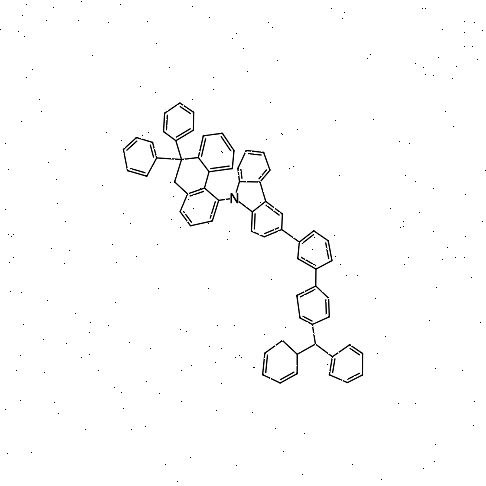 C1=CCC(C(c2ccccc2)c2ccc(-c3cccc(-c4ccc5c(c4)c4ccccc4n5-c4cccc5c4-c4ccccc4C(c4ccccc4)(c4ccccc4)C5)c3)cc2)C=C1